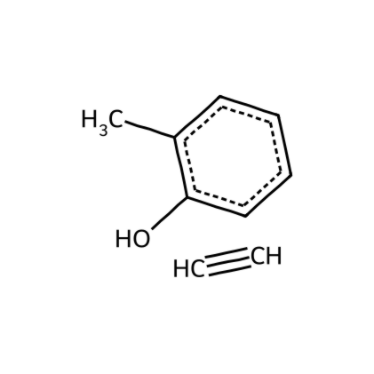 C#C.Cc1ccccc1O